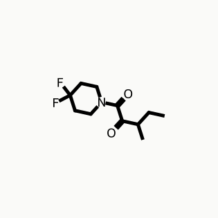 CCC(C)C(=O)C(=O)N1CCC(F)(F)CC1